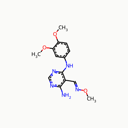 CON=Cc1c(N)ncnc1Nc1ccc(OC)c(OC)c1